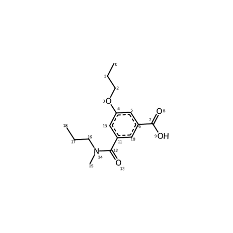 CCCOc1cc(C(=O)O)cc(C(=O)N(C)CCC)c1